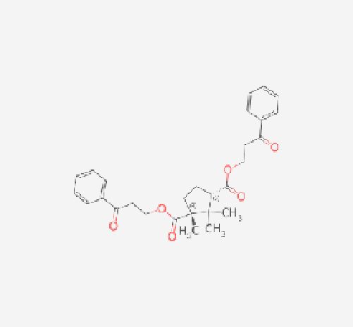 CC1(C)[C@@H](C(=O)OCCC(=O)c2ccccc2)CC[C@@]1(C)C(=O)OCCC(=O)c1ccccc1